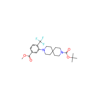 COC(=O)c1ccc(C(F)(F)F)c(N2CCC3(CCN(C(=O)OC(C)(C)C)CC3)CC2)c1